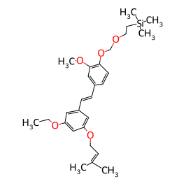 CCOc1cc(C=Cc2ccc(OCOCC[Si](C)(C)C)c(OC)c2)cc(OCC=C(C)C)c1